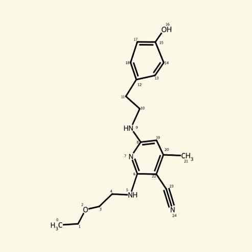 CCOCCNc1nc(NCCc2ccc(O)cc2)cc(C)c1C#N